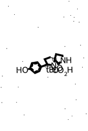 CC(C)(C)[C@]1(c2ccc(O)cc2)CC[C@@]2(CCNC2=O)N1C(=O)O